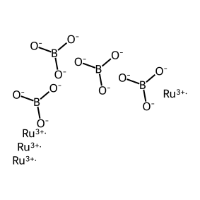 [O-]B([O-])[O-].[O-]B([O-])[O-].[O-]B([O-])[O-].[O-]B([O-])[O-].[Ru+3].[Ru+3].[Ru+3].[Ru+3]